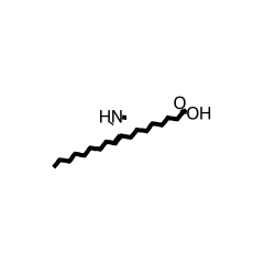 CCCCCCCCC=CCCCCCCCC(=O)O.CNC